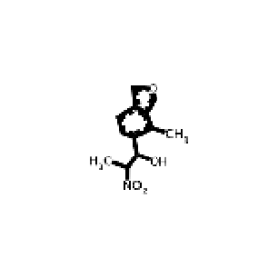 Cc1c(C(O)C(C)[N+](=O)[O-])ccc2cocc12